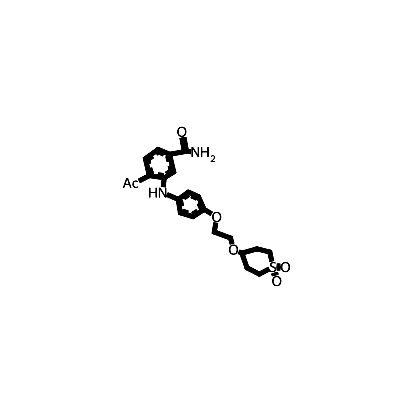 CC(=O)c1ccc(C(N)=O)cc1Nc1ccc(OCCOC2CCS(=O)(=O)CC2)cc1